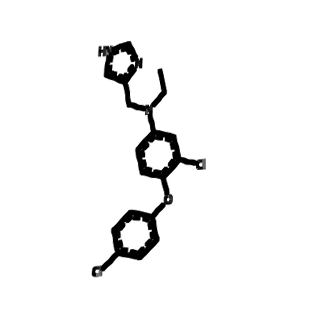 CCN(Cc1c[nH]cn1)c1ccc(Oc2ccc(Cl)cc2)c(Cl)c1